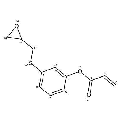 C=CC(=O)Oc1cccc(SCC2CO2)c1